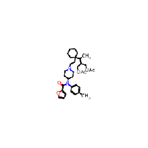 CC(=O)OCC(COC(C)=O)C(C)C1(CCN2CCC(N(C(=O)c3ccco3)c3ccc(C)cc3)CC2)CCCCC1